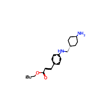 CCC(C)COC(=O)/C=C/c1ccc(NC[C@H]2CC[C@H](N)CC2)cc1